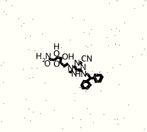 N#Cc1nc(NCC(c2ccccc2)c2ccccc2)c2ncn(CCC3OC(C(N)=O)C(O)C3O)c2n1